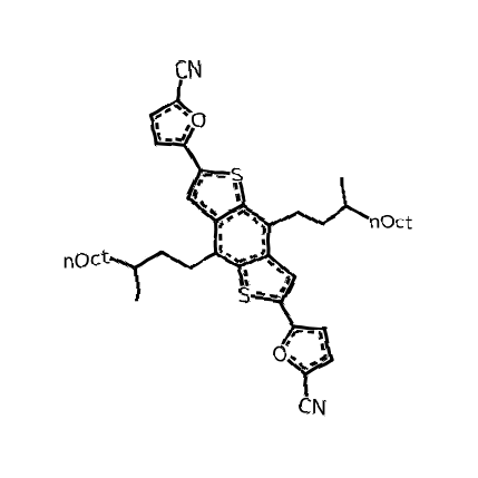 CCCCCCCCC(C)CCc1c2cc(-c3ccc(C#N)o3)sc2c(CCC(C)CCCCCCCC)c2cc(-c3ccc(C#N)o3)sc12